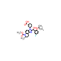 COC(=O)N1c2ccc3c(nc([C@H](O)c4cc(F)ccc4OC(C)C)n3[C@@H]3CCC[C@@H](C(=O)O)C3)c2CC[C@@H]1C